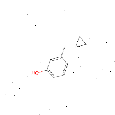 C1CC1.Cc1cccc(O)c1